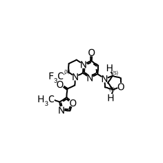 Cc1ncoc1C(=O)CN1c2nc(N3C[C@@H]4C[C@H]3CO4)cc(=O)n2CC[C@H]1C(F)(F)F